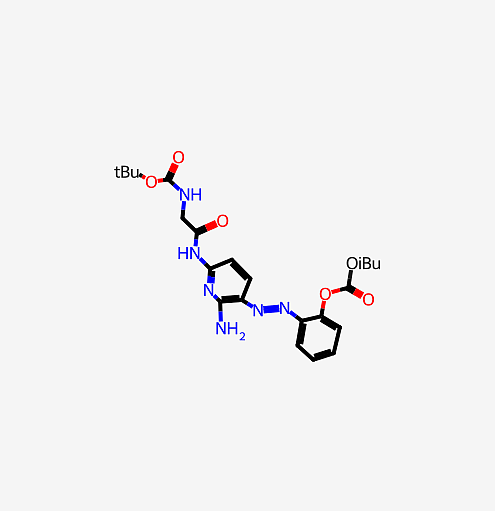 CC(C)COC(=O)Oc1ccccc1N=Nc1ccc(NC(=O)CNC(=O)OC(C)(C)C)nc1N